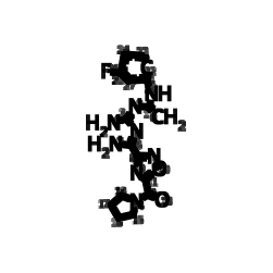 C=C(/N=C(N)\N=C(/N)c1noc(C(=O)N2CCCC2)n1)Nc1cccc(F)c1